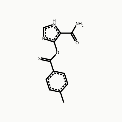 Cc1ccc(C(=S)Oc2nc[nH]c2C(N)=O)cc1